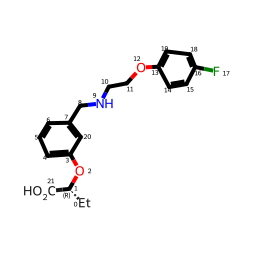 CC[C@@H](Oc1cccc(CNCCOc2ccc(F)cc2)c1)C(=O)O